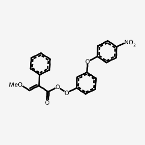 COC=C(C(=O)OOc1cccc(Oc2ccc([N+](=O)[O-])cc2)c1)c1ccccc1